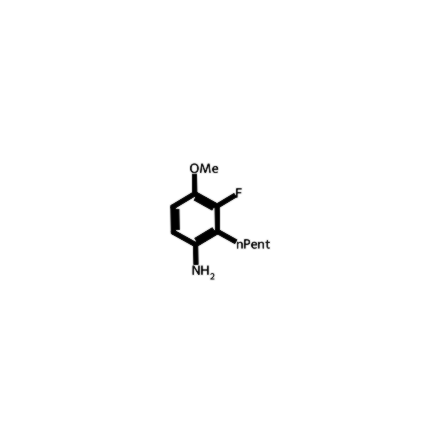 CCCCCc1c(N)ccc(OC)c1F